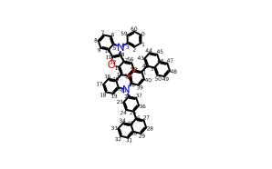 c1ccc(-n2c3ccccc3c3oc4c(-c5ccccc5N(c5ccc(-c6cccc7ccccc67)cc5)c5ccc(-c6cccc7ccccc67)cc5)cccc4c32)cc1